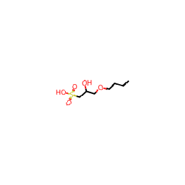 CCCCOCC(O)CS(=O)(=O)O